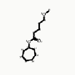 COCCCCC(=O)OC1CCCCCC1